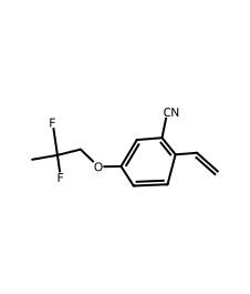 C=Cc1ccc(OCC(C)(F)F)cc1C#N